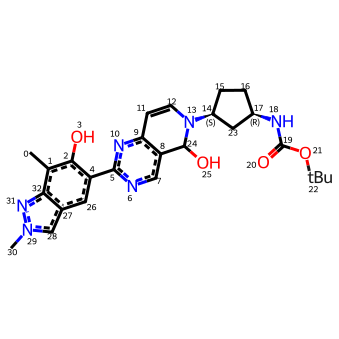 Cc1c(O)c(-c2ncc3c(n2)C=CN([C@H]2CC[C@@H](NC(=O)OC(C)(C)C)C2)C3O)cc2cn(C)nc12